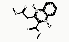 COC(=O)Cc1c(C(=O)OC)[n+]([O-])c2ccccc2[n+]1[O-]